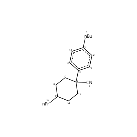 CCCCc1ccc(C2(C#N)CCC(CCC)CC2)cc1